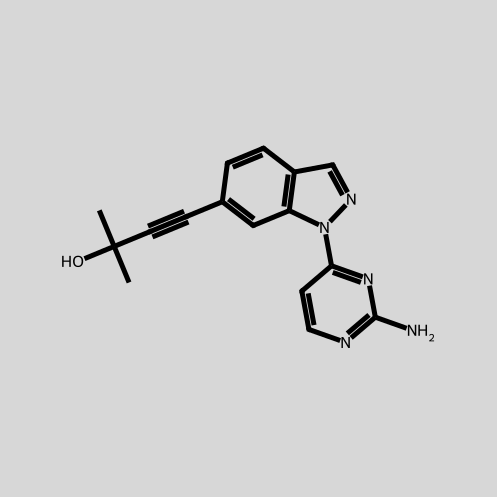 CC(C)(O)C#Cc1ccc2cnn(-c3ccnc(N)n3)c2c1